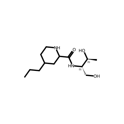 CCCC1CCNC(C(=O)N[C@@H](CO)[C@H](C)O)C1